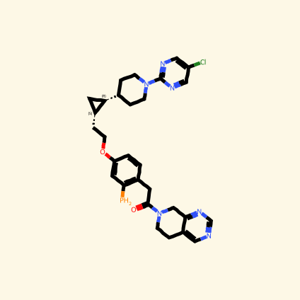 O=C(Cc1ccc(OCC[C@@H]2C[C@@H]2C2CCN(c3ncc(Cl)cn3)CC2)cc1P)N1CCc2cncnc2C1